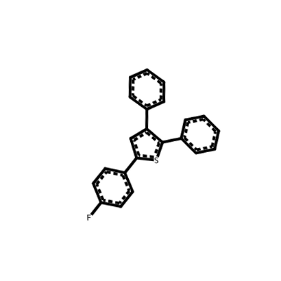 Fc1ccc(-c2cc(-c3ccccc3)c(-c3ccccc3)s2)cc1